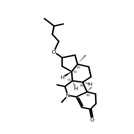 CC(C)CCOC1C[C@H]2[C@@H]3C(C)N(C)C4=CC(=O)CC[C@]4(C)[C@@H]3CC[C@]2(C)C1